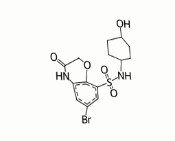 O=C1COc2c(cc(Br)cc2S(=O)(=O)NC2CCC(O)CC2)N1